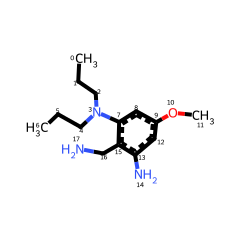 CCCN(CCC)c1cc(OC)cc(N)c1CN